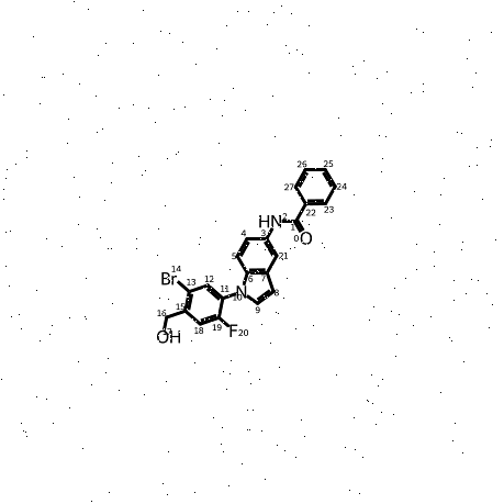 O=C(Nc1ccc2c(ccn2-c2cc(Br)c(CO)cc2F)c1)c1ccccc1